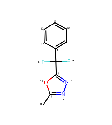 Cc1nnc(C(F)(F)c2ccccc2)o1